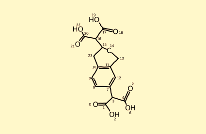 O=C(O)C(C(=O)O)c1ccc2c(c1)CCC(C(C(=O)O)C(=O)O)C2